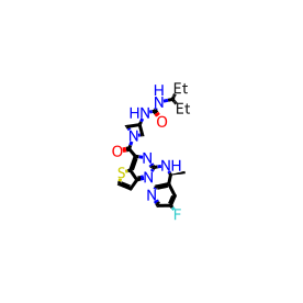 CCC(CC)NC(=O)NC1CN(C(=O)c2nc(N[C@@H](C)c3cncc(F)c3)nc3ccsc23)C1